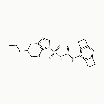 CCOC1COc2c(S(=O)(=O)NC(=O)Nc3c4c(cc5c3CC5)CC4)cnn2C1